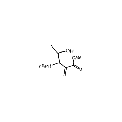 C=C(C(=O)OC)C(CCCCC)C(C)O